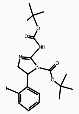 CC(C)(C)OC(=O)NC1=NCC(c2ccccc2I)N1C(=O)OC(C)(C)C